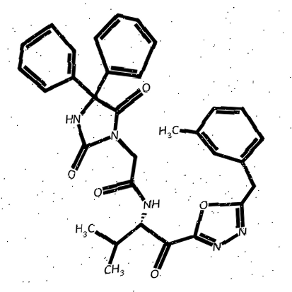 Cc1cccc(Cc2nnc(C(=O)[C@@H](NC(=O)CN3C(=O)NC(c4ccccc4)(c4ccccc4)C3=O)C(C)C)o2)c1